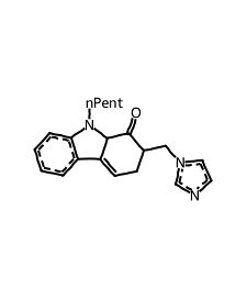 CCCCCN1c2ccccc2C2=CCC(Cn3ccnc3)C(=O)C21